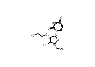 N#CCCO[C@H]1C(O)[C@@H](CO)O[C@H]1n1ccc(=O)[nH]c1=O